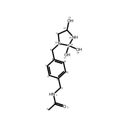 CC(=O)NCc1ccc(CN2CC(O)NS2(O)O)cc1